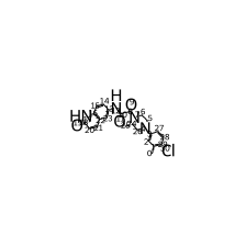 Cc1cc(N2CCN(C(=O)C(=O)Nc3ccc4[nH]c(=O)ccc4c3)[C@H](C)C2)ccc1Cl